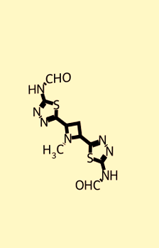 CN1C(c2nnc(NC=O)s2)CC1c1nnc(NC=O)s1